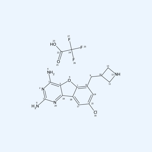 Nc1nc(N)c2oc3c(CC4CNC4)cc(Cl)cc3c2n1.O=C(O)C(F)(F)F